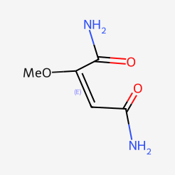 CO/C(=C/C(N)=O)C(N)=O